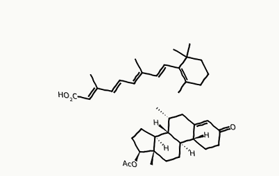 CC(=O)O[C@H]1CC[C@H]2[C@H]3[C@H](CC[C@]12C)[C@H]1CCC(=O)C=C1C[C@H]3C.CC1=C(/C=C/C(C)=C/C=C/C(C)=C/C(=O)O)C(C)(C)CCC1